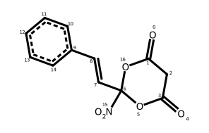 O=C1CC(=O)OC(C=Cc2ccccc2)([N+](=O)[O-])O1